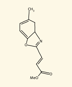 COC(=O)/C=C/C1=NC2CC(C)=CC=C2O1